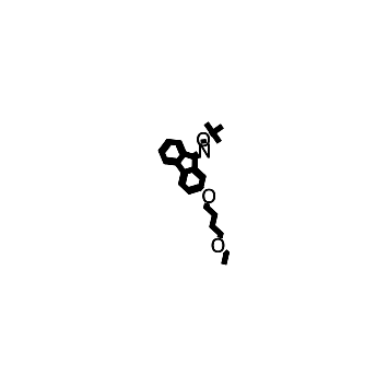 CCOCCCCOc1ccc2c(c1)/C(=N/OC(C)(C)C)c1ccccc1-2